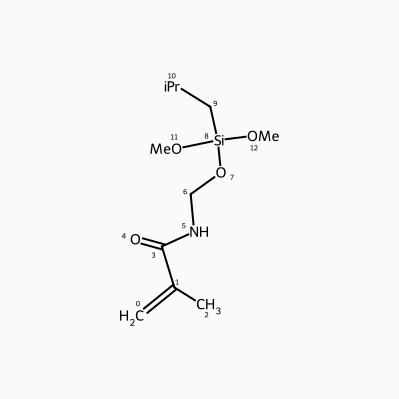 C=C(C)C(=O)NCO[Si](CC(C)C)(OC)OC